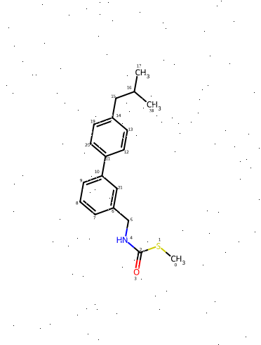 CSC(=O)NCc1cccc(-c2ccc(CC(C)C)cc2)c1